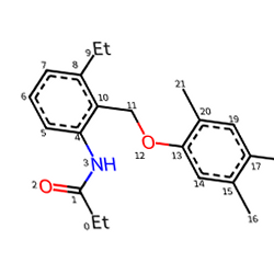 CCC(=O)Nc1cccc(CC)c1COc1cc(C)c(C)cc1C